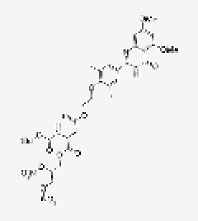 COc1cc(OC)c2c(=O)[nH]c(-c3cc(C)c(OCCOC(=O)C[C@H](NC(=O)OC(C)(C)C)C(=O)OCC(CO[N+](=O)[O-])O[N+](=O)[O-])c(C)c3)nc2c1